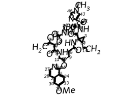 C=C[C@@H]1C[C@]1(NC(=O)CC[C@H](CNC(=O)[C@@H](OC(=O)NC(C)(C)C)C(=C)C)Oc1nccc2cc(OC)ccc12)C(=O)NS(=O)(=O)c1cn(C)cn1